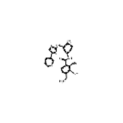 CCCc1c(CN)ccc(C(=O)Nc2ccc(C)c(Nc3nc(-c4cccnc4)cs3)c2)c1CCC